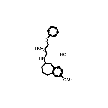 COc1ccc2c(c1)CCCC(NC[C@H](O)COc1ccccc1)C2.Cl